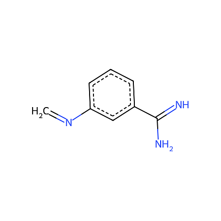 C=Nc1cccc(C(=N)N)c1